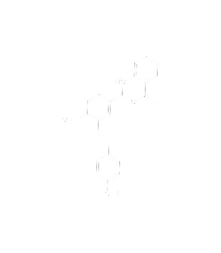 COc1ccc(C2NC(=O)c3ccccc3N2)cc1COc1ccc(NC(C)=O)cc1